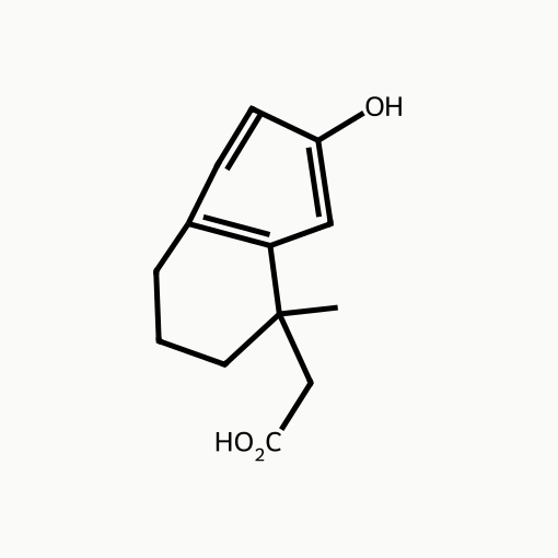 CC1(CC(=O)O)CCCc2ccc(O)cc21